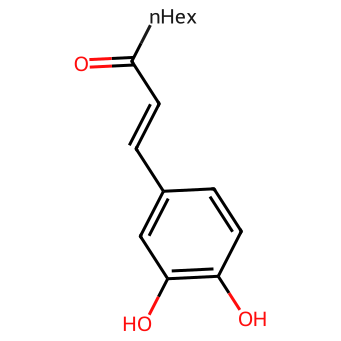 CCCCCCC(=O)C=Cc1ccc(O)c(O)c1